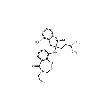 CCN1CCOc2c(NC(CCN(C)C)(Cc3ncccc3C)C(N)=O)cccc2C1=O